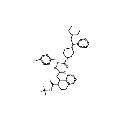 CCN(CC)CC(c1ccccc1)N1CCN(C(=O)[C@@H](Cc2ccc(Cl)cc2)NC(=O)CC2c3ccccc3CCN2C(=O)OC(C)(C)C)CC1